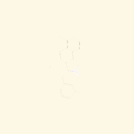 CN1CC2c3cccc(Cl)c3CCC2C1Cc1cccc(Cl)c1.Cl